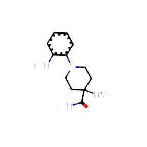 CNC1(C(N)=O)CCN(c2ccccc2N)CC1